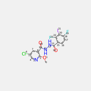 COc1ncc(Cl)cc1C(=O)NNC(=O)c1ccc(F)c(I)c1F